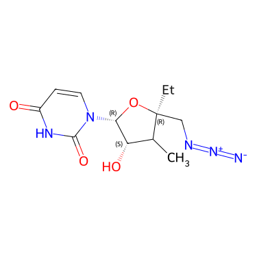 CC[C@@]1(CN=[N+]=[N-])O[C@@H](n2ccc(=O)[nH]c2=O)[C@@H](O)C1C